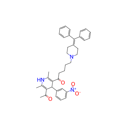 CC(=O)C1=C(C)NC(C)=C(C(=O)CCCCN2CCC(=C(c3ccccc3)c3ccccc3)CC2)C1c1cccc([N+](=O)[O-])c1